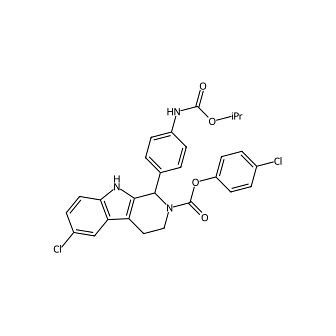 CC(C)OC(=O)Nc1ccc(C2c3[nH]c4ccc(Cl)cc4c3CCN2C(=O)Oc2ccc(Cl)cc2)cc1